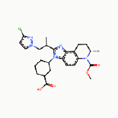 COC(=O)N1c2ccc3c(nc(C(C)Cn4ccc(Cl)n4)n3C3CCCC(C(=O)O)C3)c2CC[C@@H]1C